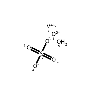 O.O=S(=O)([O-])[O-].[O-2].[V+4]